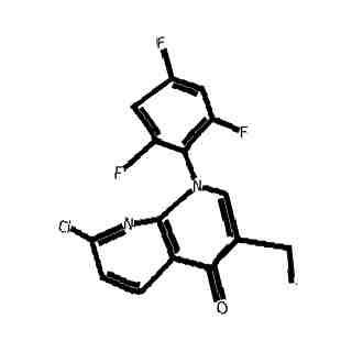 [CH2]Cc1cn(-c2c(F)cc(F)cc2F)c2nc(Cl)ccc2c1=O